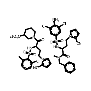 CCOC(=O)C1CCCN(C(=O)C(CCn2cccc2C#N)NS(=O)(=O)c2c(C)cccc2Cl)C1.CN(Cc1ccccc1)C(=O)C(CCn1cccc1C#N)NS(=O)(=O)c1cc(Cl)c(N)c(Cl)c1